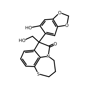 O=C1N2CCCSc3cccc(c32)C1(CO)c1cc2c(cc1O)OCO2